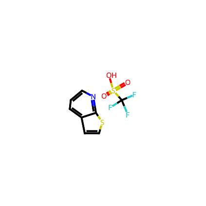 O=S(=O)(O)C(F)(F)F.c1cnc2sccc2c1